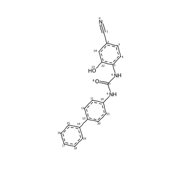 N#Cc1ccc(NC(=O)Nc2ccc(-c3ccccc3)cc2)c(O)c1